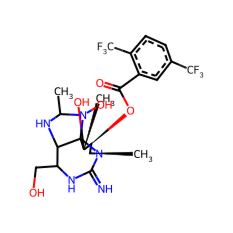 CC1NC2C(CO)NC(=N)N3[C@@H](C)[C@H](OC(=O)c4cc(C(F)(F)F)ccc4C(F)(F)F)[C@](C)(O)C23N1O